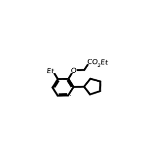 CCOC(=O)COc1c(C2CCCC2)[c]ccc1CC